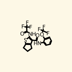 O=C(Nc1ccccc1OC(F)(F)F)c1c(NC(=O)C(F)(F)F)sc2c1CCC2